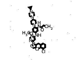 C=CC(=O)Nc1cc(Nc2cc(N3OCCC3Cc3cccc(Cl)c3Cl)ncn2)c(OC)cc1N1CCC(N2CCN(C3CC3)CC2)CC1